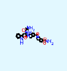 CC(C)(N)C(=O)N[C@H](Cc1c[nH]c2ccccc12)C(=O)N1CCc2cc(C(=O)N3CCc4ccc(S(N)(=O)=O)cc4C3)ccc2C1